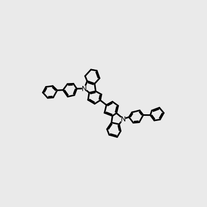 C1=Cc2c(n(-c3ccc(-c4ccccc4)cc3)c3ccc(-c4ccc5c(c4)c4ccccc4n5-c4ccc(-c5ccccc5)cc4)cc23)CC1